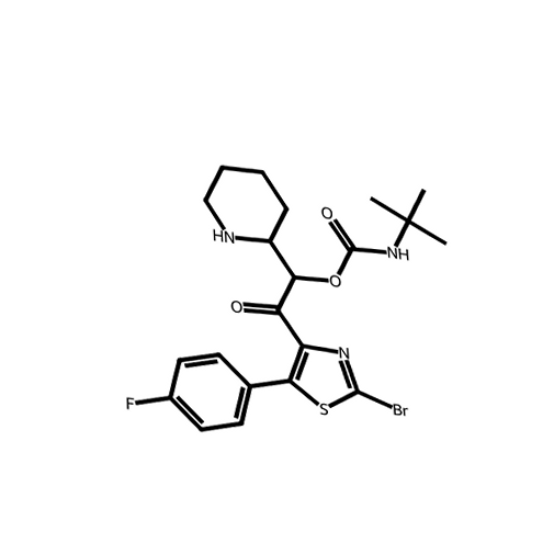 CC(C)(C)NC(=O)OC(C(=O)c1nc(Br)sc1-c1ccc(F)cc1)C1CCCCN1